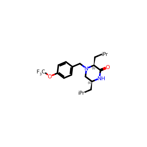 CC(C)C[C@H]1CN(Cc2ccc(OC(F)(F)F)cc2)[C@@H](CC(C)C)C(=O)N1